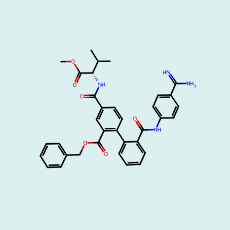 COC(=O)[C@@H](NC(=O)c1ccc(-c2ccccc2C(=O)Nc2ccc(C(=N)N)cc2)c(C(=O)OCc2ccccc2)c1)C(C)C